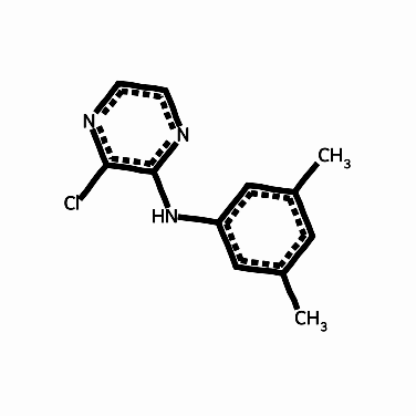 Cc1cc(C)cc(Nc2nccnc2Cl)c1